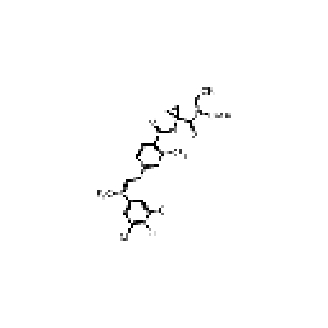 CON(CC(F)(F)F)C(=O)C1(NC(=O)c2ccc(CC=C(c3cc(Cl)c(Cl)c(Cl)c3)C(F)(F)F)cc2C(F)(F)F)CC1